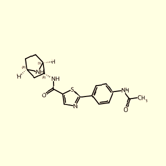 CC(=O)Nc1ccc(-c2ncc(C(=O)N[C@@H]3C[C@H]4CC[C@@H]3N4)s2)cc1